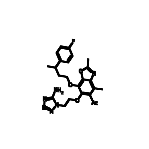 CC(=O)c1c(OCCn2nnnc2N)c(OCCC(C)c2ccc(F)cc2)c2oc(C)nc2c1C